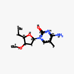 Cc1cn([C@H]2CC(OC(C)(C)C)[C@@H](CC(C)(C)C)O2)c(=O)nc1N